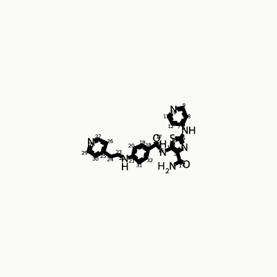 NC(=O)c1nc(Nc2ccncc2)sc1NC(=O)c1ccc(NCCc2ccncc2)cc1